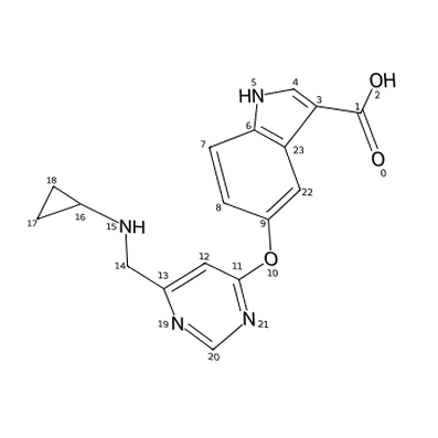 O=C(O)c1c[nH]c2ccc(Oc3cc(CNC4CC4)ncn3)cc12